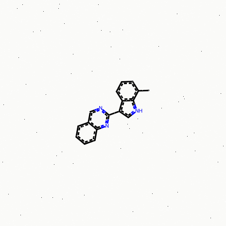 Cc1cccc2c(-c3ncc4ccccc4n3)c[nH]c12